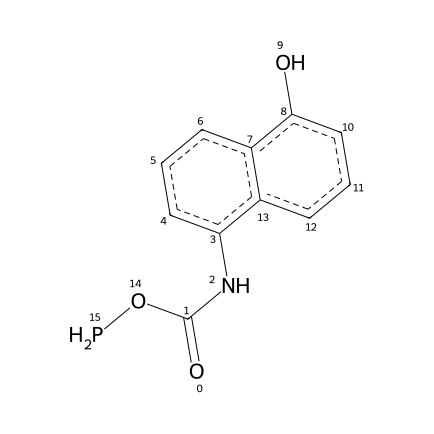 O=C(Nc1cccc2c(O)cccc12)OP